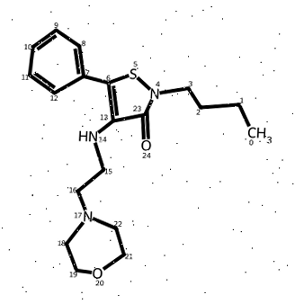 CCCCn1sc(-c2ccccc2)c(NCCN2CCOCC2)c1=O